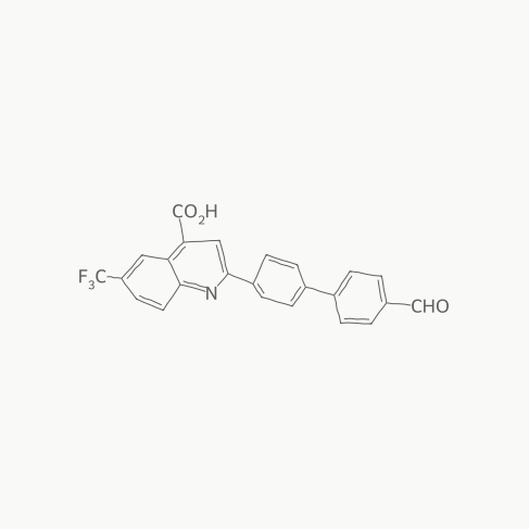 O=Cc1ccc(-c2ccc(-c3cc(C(=O)O)c4cc(C(F)(F)F)ccc4n3)cc2)cc1